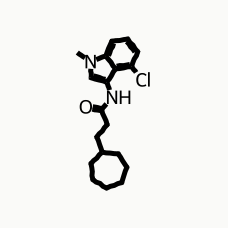 Cn1cc(NC(=O)CCC2CCCCCC2)c2c(Cl)cccc21